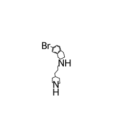 Brc1ccc2c(c1)CC(NCCCC1CCNCC1)CC2